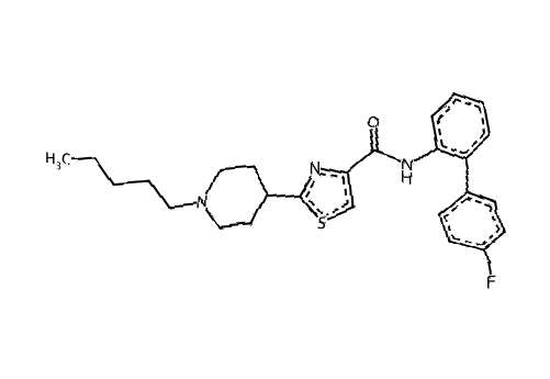 CCCCCN1CCC(c2nc(C(=O)Nc3ccccc3-c3ccc(F)cc3)cs2)CC1